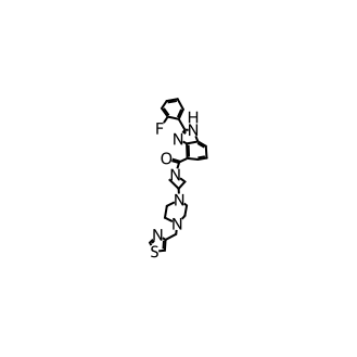 O=C(c1cccc2[nH]c(-c3ccccc3F)nc12)N1CC(N2CCN(Cc3cscn3)CC2)C1